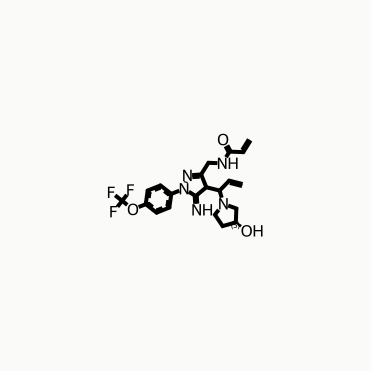 C=CC(=O)NCC1=NN(c2ccc(OC(F)(F)F)cc2)C(=N)C1C(C=C)N1CC[C@H](O)C1